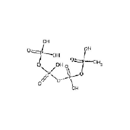 CP(=O)(O)OP(=O)(O)OP(=O)(O)OP(=O)(O)O